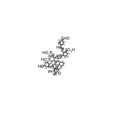 [2H]N(C(=O)NCc1ccccc1)[C@@H](C(=O)N[C@@H](Cc1ccc(O)cc1)C(=O)N(CCCNc1cccc(S(=O)(=O)O)c1C=NNc1ccc(C=O)cn1)[C@H](CC(=O)O)C(=O)NCC(=O)O)C(C)C